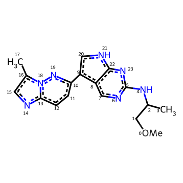 COCC(C)Nc1ncc2c(-c3ccc4ncc(C)n4n3)c[nH]c2n1